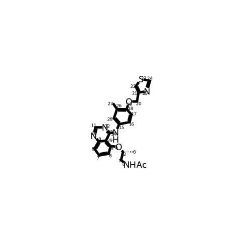 CC(=O)NC[C@@H](C)Oc1cccc2ncnc(Nc3ccc(OCc4cscn4)c(C)c3)c12